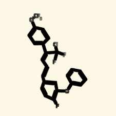 Fc1ccc(C=CC=C(c2ccc(OC(F)(F)F)cc2)C(F)(F)Cl)cc1Oc1ccccc1